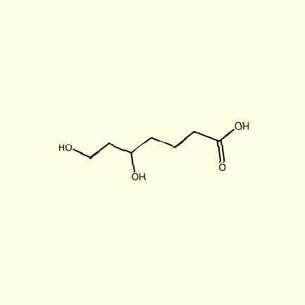 O=C(O)CCCC(O)CCO